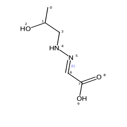 CC(O)CN/N=C/C(=O)O